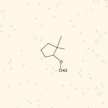 CC1(C)CCCC1OC=O